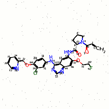 C=CC(=O)N1CCC[C@H]1C(=O)Nc1cc2c(Nc3ccc(OCc4ccccn4)c(Cl)c3)ncnc2cc1OCCF